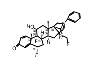 C[C@]12C=CC(=O)C=C1[C@@H](F)C[C@H]1[C@@H]3C[C@H]4CN(c5ccccc5)C[C@@]4(C(=O)SCF)[C@@]3(C)C[C@H](O)[C@@]12F